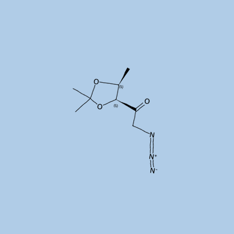 C[C@@H]1OC(C)(C)O[C@@H]1C(=O)CN=[N+]=[N-]